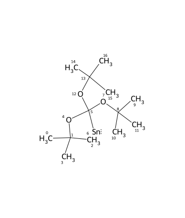 CC(C)(C)O[C]([Sn])(OC(C)(C)C)OC(C)(C)C